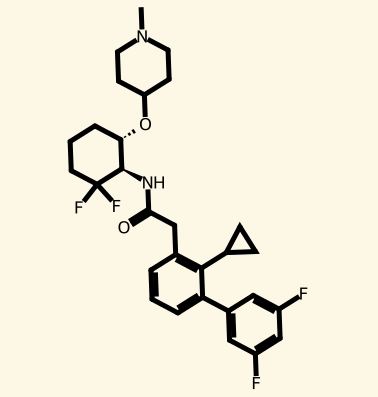 CN1CCC(O[C@H]2CCCC(F)(F)[C@@H]2NC(=O)Cc2cccc(-c3cc(F)cc(F)c3)c2C2CC2)CC1